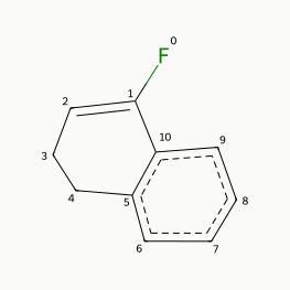 FC1=CCCc2ccccc21